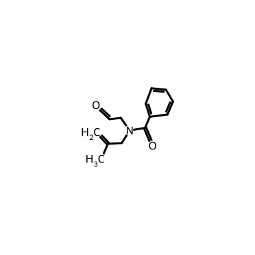 C=C(C)CN(CC=O)C(=O)c1ccccc1